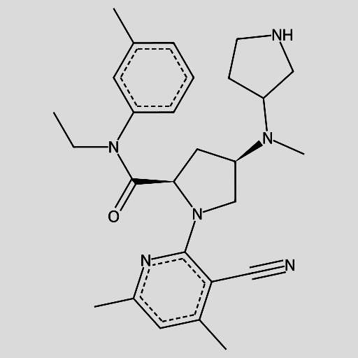 CCN(C(=O)[C@H]1C[C@@H](N(C)C2CCNC2)CN1c1nc(C)cc(C)c1C#N)c1cccc(C)c1